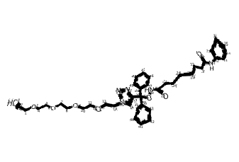 C#CCOCCOCCOCCOCCn1cc(C(ONC(=O)CCCCCCC(=O)Nc2ccccc2)(c2ccccc2)c2ccccc2)nn1